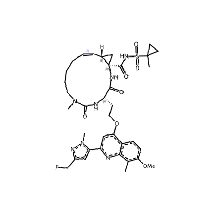 COc1ccc2c(OCC[C@@H]3NC(=O)N(C)CCCC/C=C\[C@@H]4C[C@@]4(C(=O)NS(=O)(=O)C4(C)CC4)NC3=O)cc(-c3cc(CF)nn3C)nc2c1C